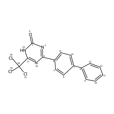 O=c1nc(-c2ccc(-c3ccccc3)cc2)nc(C(Cl)(Cl)Cl)[nH]1